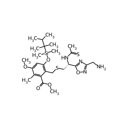 COC(=O)c1c(C)c(OC)cc(O[Si](C)(C)C(C)(C)C(C)C)c1CSC[C@H](NC(C)=S)c1nc(CN)no1